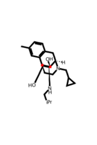 Cc1ccc2c(c1)[C@]13CCN(CC4CC4)[C@H](C2)[C@]1(O)C[C@@H](NCC(C)C)C(O)C3